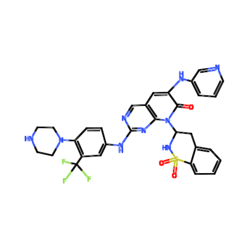 O=c1c(Nc2cccnc2)cc2cnc(Nc3ccc(N4CCNCC4)c(C(F)(F)F)c3)nc2n1C1Cc2ccccc2S(=O)(=O)N1